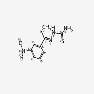 CC/C(=N\NC(N)=S)c1cccc([N+](=O)[O-])c1